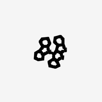 c1ccc2c(-n3c4ccccc4c4ccccc43)c3c(nc2c1)sc1ccccc13